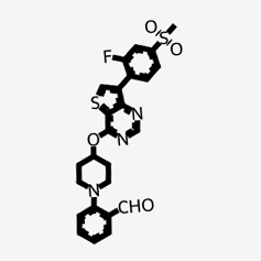 CS(=O)(=O)c1ccc(-c2csc3c(OC4CCN(c5ccccc5C=O)CC4)ncnc23)c(F)c1